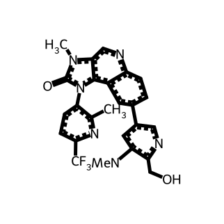 CNc1cc(-c2ccc3ncc4c(c3c2)n(-c2ccc(C(F)(F)F)nc2C)c(=O)n4C)cnc1CO